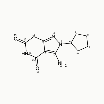 Nc1c2c(nn1C1CCCC1)CC(=O)NC2=O